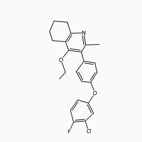 CCOc1c2c(nc(C)c1-c1ccc(Oc3ccc(F)c(Cl)c3)cc1)CCCC2